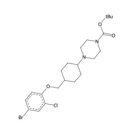 CC(C)(C)OC(=O)N1CCN(C2CCC(COc3ccc(Br)cc3Cl)CC2)CC1